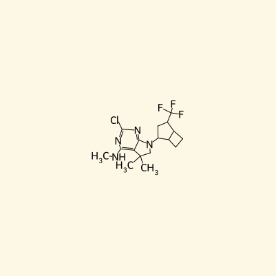 CNc1nc(Cl)nc2c1C(C)(C)CN2C1CC(C(F)(F)F)C2CCC21